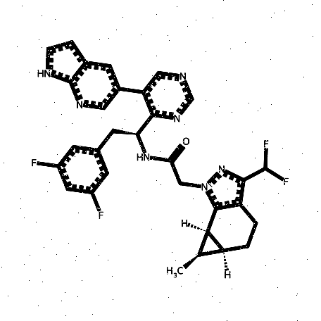 C[C@@H]1[C@@H]2CCc3c(C(F)F)nn(CC(=O)N[C@@H](Cc4cc(F)cc(F)c4)c4ncncc4-c4cnc5[nH]ccc5c4)c3[C@H]12